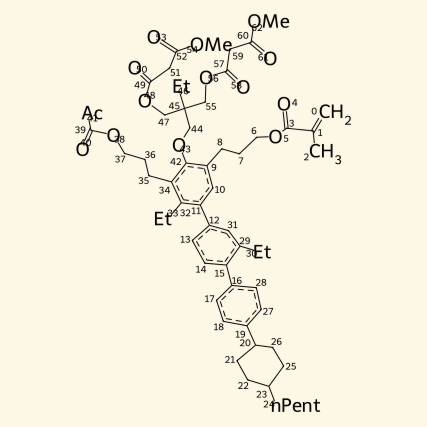 C=C(C)C(=O)OCCCc1cc(-c2ccc(-c3ccc(C4CCC(CCCCC)CC4)cc3)c(CC)c2)c(CC)c(CCCOC(=O)C(C)=O)c1OCC(CC)(COC(=O)CC(=O)OC)COC(=O)CC(=O)OC